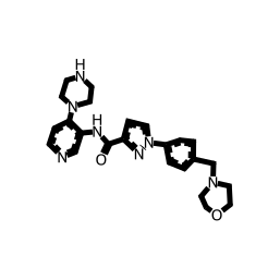 O=C(Nc1cnccc1N1CCNCC1)c1ccn(-c2ccc(CN3CCOCC3)cc2)n1